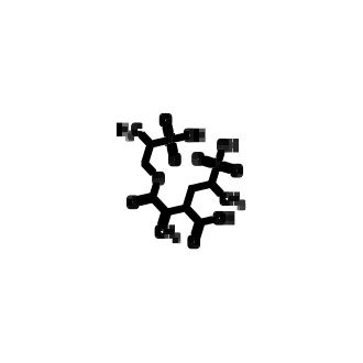 C=C(C(=O)OCC(C)S(=O)(=O)O)C(CC(C)S(=O)(=O)O)C(=O)O